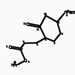 CCCCCC1CCC(CCC(=O)OCCC)C(=O)C1